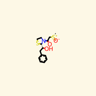 C[S@+]([O-])CC(=O)N1CCS[C@H]1C(O)Cc1ccccc1